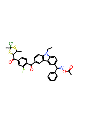 CCn1c2ccc(C(=O)c3ccc(C(=O)C4SC(C)(Cl)SC4C)cc3F)cc2c2cc(/C(=N/OC(C)=O)c3ccccc3)ccc21